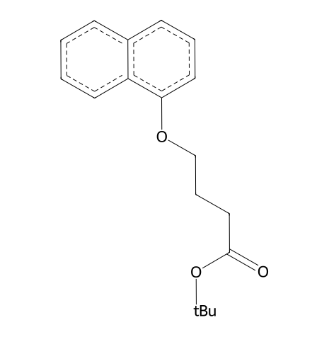 CC(C)(C)OC(=O)CCCOc1cccc2ccccc12